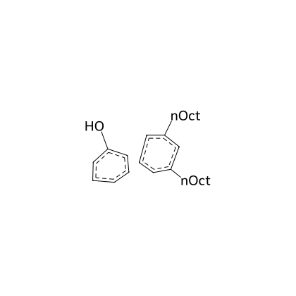 CCCCCCCCc1cccc(CCCCCCCC)c1.Oc1ccccc1